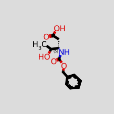 CC(O)[C@H](CC(=O)O)NC(=O)OCc1ccccc1